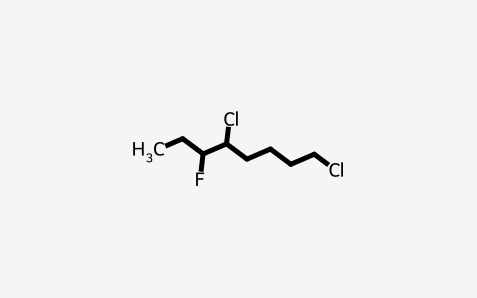 CCC(F)C(Cl)CCCCCl